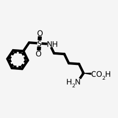 N[C@@H](CCCCNS(=O)(=O)Cc1ccccc1)C(=O)O